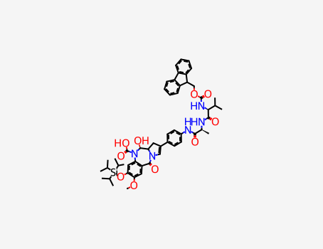 COc1cc2c(cc1O[Si](C(C)C)(C(C)C)C(C)C)N(C(=O)O)[C@@H](O)C1CC(c3ccc(NC(=O)[C@H](C)NC(=O)[C@@H](NC(=O)OCC4c5ccccc5-c5ccccc54)C(C)C)cc3)=CN1C2=O